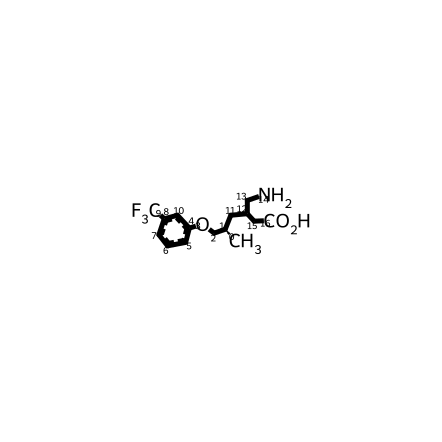 C[C@H](COc1cccc(C(F)(F)F)c1)CC(CN)CC(=O)O